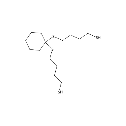 SCCCCSC1(SCCCCS)CCCCC1